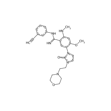 C#Cc1cccc(NC(=N)c2cc(-n3ccn(CCN4CCOCC4)c3=O)c(OC)cc2NC)c1